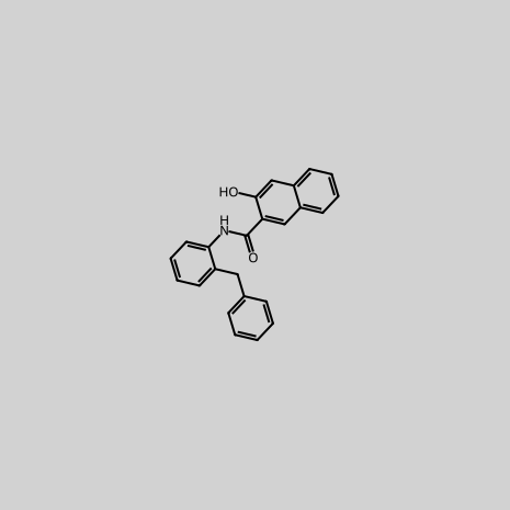 O=C(Nc1ccccc1Cc1ccccc1)c1cc2ccccc2cc1O